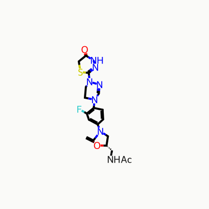 C=C1O[C@@H](CNC(C)=O)CN1c1ccc(N2C=NN(C3=NNC(=O)CS3)CC2)c(F)c1